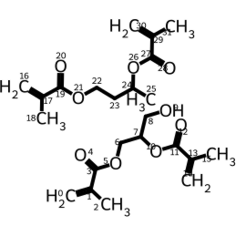 C=C(C)C(=O)OCC(CO)OC(=O)C(=C)C.C=C(C)C(=O)OCCC(C)OC(=O)C(=C)C